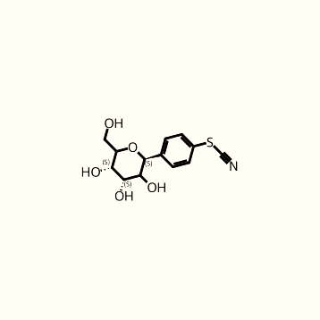 N#CSc1ccc([C@@H]2OC(CO)[C@@H](O)[C@@H](O)C2O)cc1